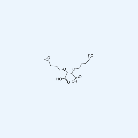 O=C(O)C(OCCCC1CO1)C(OCCCC1CO1)C(=O)O